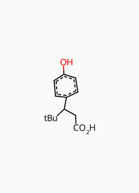 CC(C)(C)C(CC(=O)O)c1ccc(O)cc1